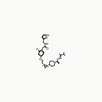 C=C(O/N=C(\C)C(C)C)N1CCC([C@H]2C[C@H]2CCOc2ccc(CC(=O)N(C)Cc3cc[nH]n3)c(F)c2)CC1